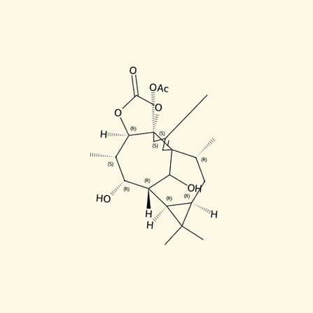 CC(=O)O[C@H]1C(C)=CC23C(O)[C@@H]([C@H](O)[C@H](C)[C@H]4OC(=O)O[C@@]412)[C@H]1[C@@H](C[C@H]3C)C1(C)C